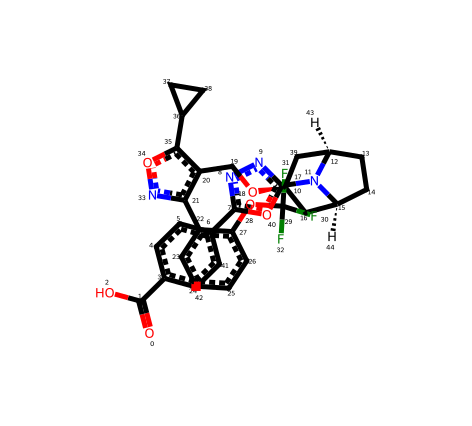 O=C(O)c1ccc(-c2nnc(N3[C@@H]4CC[C@H]3C[C@@H](OCc3c(-c5ccccc5OC(F)(F)F)noc3C3CC3)C4)o2)cc1